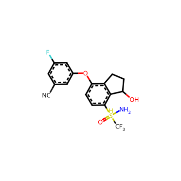 N#Cc1cc(F)cc(Oc2ccc([SH](N)(=O)C(F)(F)F)c3c2CCC3O)c1